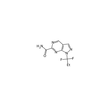 CCC(F)(F)n1ncc2cnc(C(N)=O)nc21